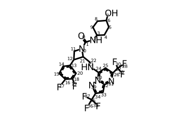 O=C(NC1CCC(O)CC1)N1CC(c2ccc(F)c(F)c2)C1CNc1cc(C(F)(F)F)nc2cc(C(F)(F)F)nn12